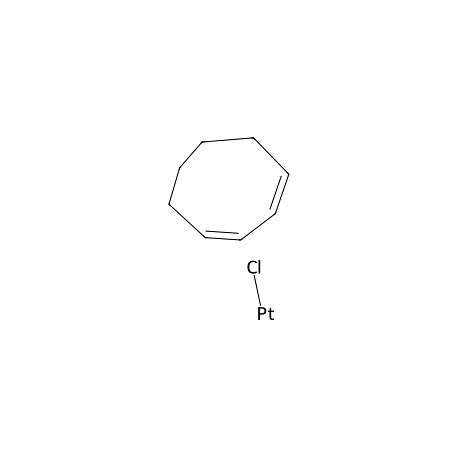 C1=C\CCCC\C=C/1.[Cl][Pt]